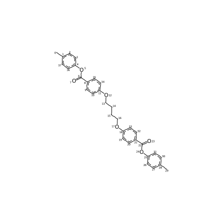 Cc1ccc(OC(=O)c2ccc(OCCCCOc3ccc(C(=O)Oc4ccc(C)cc4)cc3)cc2)cc1